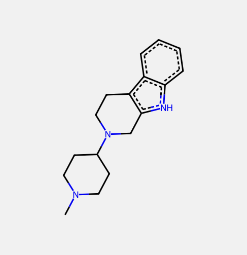 CN1CCC(N2CCc3c([nH]c4ccccc34)C2)CC1